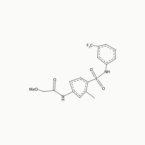 COCC(=O)Nc1ccc(S(=O)(=O)Nc2cccc(C(F)(F)F)c2)c(C)c1